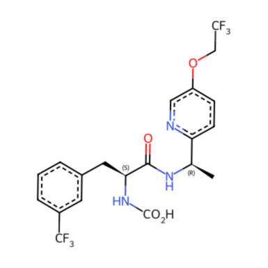 C[C@@H](NC(=O)[C@H](Cc1cccc(C(F)(F)F)c1)NC(=O)O)c1ccc(OCC(F)(F)F)cn1